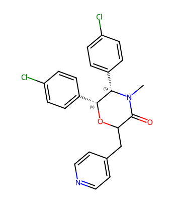 CN1C(=O)C(Cc2ccncc2)O[C@H](c2ccc(Cl)cc2)[C@@H]1c1ccc(Cl)cc1